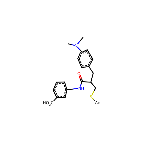 CC(=O)SCC(Cc1ccc(N(C)C)cc1)C(=O)Nc1cccc(C(=O)O)c1